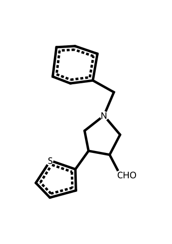 O=CC1CN(Cc2ccccc2)CC1c1cccs1